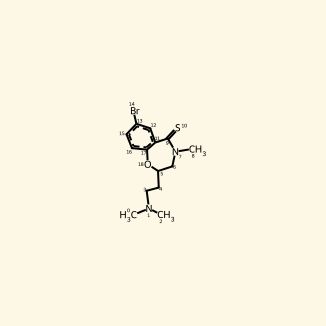 CN(C)CCC1CN(C)C(=S)c2cc(Br)ccc2O1